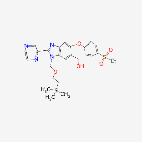 CCS(=O)(=O)c1ccc(Oc2cc3nc(-c4cnccn4)n(COCC[Si](C)(C)C)c3cc2CO)cc1